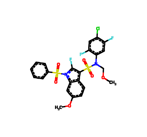 COCN(c1cc(F)c(Cl)cc1F)S(=O)(=O)c1c(F)n(S(=O)(=O)c2ccccc2)c2cc(OC)ccc12